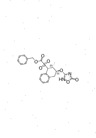 C[C@H]1C(S(=O)(=O)C(=O)OCc2ccccc2)c2ccccc2C[C@@H]1Oc1nc(=O)o[nH]1